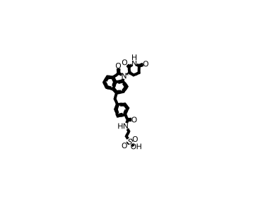 O=C1CC[C@@H](N2C(=O)c3cccc4c(Cc5ccc(C(=O)NCCS(=O)(=O)O)cc5)ccc2c34)C(=O)N1